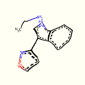 CCN.c1ccc2c(-c3ccon3)c[nH]c2c1